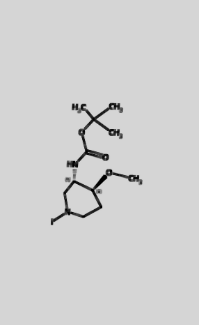 CO[C@H]1CCN(I)C[C@@H]1NC(=O)OC(C)(C)C